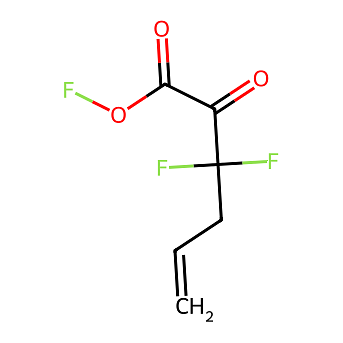 C=CCC(F)(F)C(=O)C(=O)OF